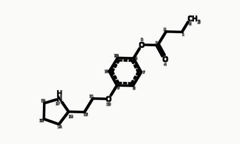 CCCC(=O)Oc1ccc(OCCC2CCCN2)cc1